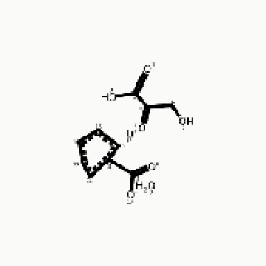 O.O=C(O)C(=O)CO.O=C([O-])c1ccccc1.[Li+]